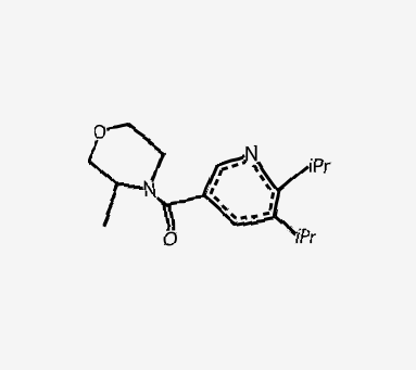 CC(C)c1cc(C(=O)N2CCOCC2C)cnc1C(C)C